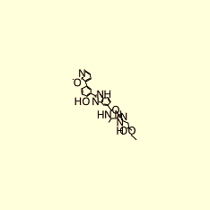 CCOC(=O)Cc1nnc(C(C)NC(=O)c2ccc3[nH]c(-c4cc(-c5cccnc5OC)ccc4O)nc3c2)[nH]1